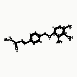 CCCc1c(OCc2ccc(/C=C/C(=O)OC)cc2)ccc(C(C)=O)c1O